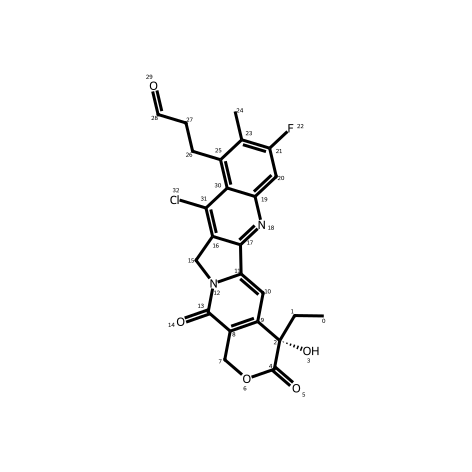 CC[C@@]1(O)C(=O)OCc2c1cc1n(c2=O)Cc2c-1nc1cc(F)c(C)c(CCC=O)c1c2Cl